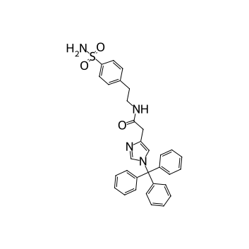 NS(=O)(=O)c1ccc(CCNC(=O)Cc2cn(C(c3ccccc3)(c3ccccc3)c3ccccc3)cn2)cc1